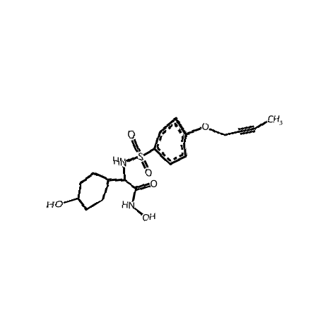 CC#CCOc1ccc(S(=O)(=O)NC(C(=O)NO)C2CCC(O)CC2)cc1